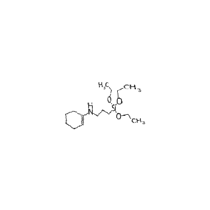 CCO[Si](CCCNC1=CCCCC1)(OCC)OCC